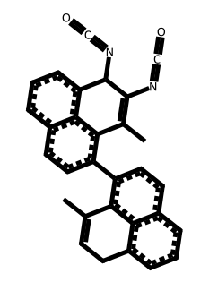 CC1=CCc2cccc3ccc(-c4ccc5cccc6c5c4C(C)=C(N=C=O)C6N=C=O)c1c23